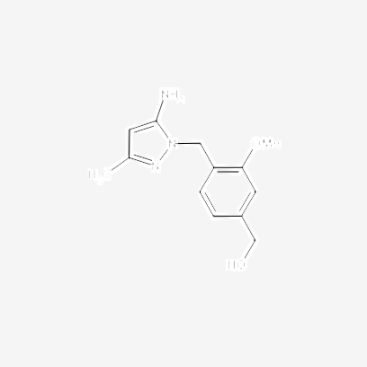 COc1cc(CO)ccc1Cn1nc(C)cc1N